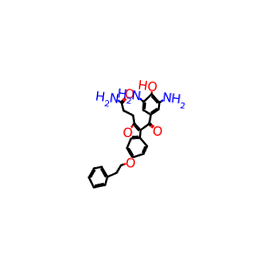 NC(=O)CCc1oc2cc(OCCc3ccccc3)ccc2c1C(=O)c1cc(N)c(O)c(N)c1